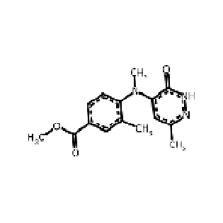 COC(=O)c1ccc(N(C)c2cc(C)n[nH]c2=O)c(C)c1